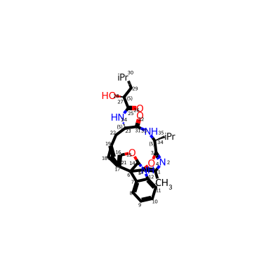 Cc1nc2oc1C13c4ccccc4NC1Oc1ccc(cc13)C[C@H](NC(=O)[C@@H](O)CC(C)C)C(=O)N[C@H]2C(C)C